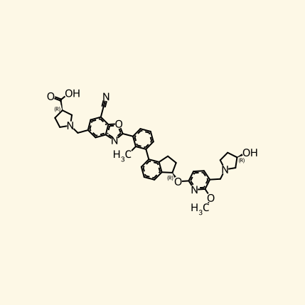 COc1nc(O[C@@H]2CCc3c(-c4cccc(-c5nc6cc(CN7CC[C@@H](C(=O)O)C7)cc(C#N)c6o5)c4C)cccc32)ccc1CN1CC[C@@H](O)C1